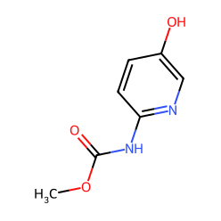 COC(=O)Nc1ccc(O)cn1